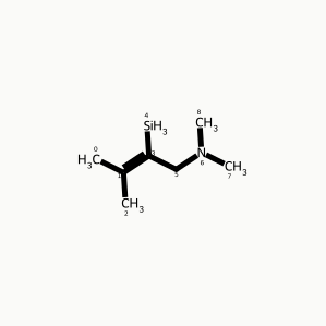 CC(C)=C([SiH3])CN(C)C